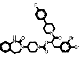 O=C(O[C@H](Cc1ccc(Br)c(Br)c1)C(=O)N1CCC(c2ccc(F)cc2)CC1)N1CCC(N2CCc3ccccc3NC2=O)CC1